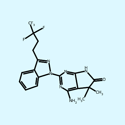 CC1(C)C(=O)Nc2nc(-n3nc(CCC(F)(F)C(F)(F)F)c4ccccc43)nc(N)c21